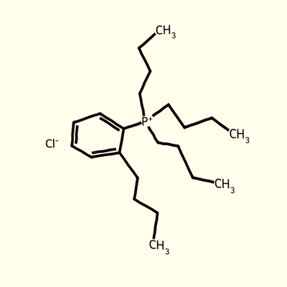 CCCCc1ccccc1[P+](CCCC)(CCCC)CCCC.[Cl-]